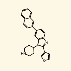 c1ccc2cc(-c3ccc4nc(-c5ccsc5)n(C5CCNCC5)c4n3)ccc2c1